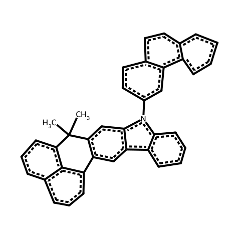 CC1(C)c2cc3c(cc2-c2cccc4cccc1c24)c1ccccc1n3-c1ccc2ccc3ccccc3c2c1